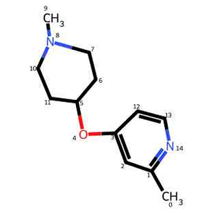 Cc1cc(OC2CCN(C)CC2)ccn1